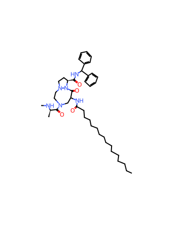 CCCCCCCCCCCCCCCC(=O)NC1CN(C(=O)[C@@H](C)NC)CCN2CC[C@@H](C(=O)NC(c3ccccc3)c3ccccc3)N2C1=O